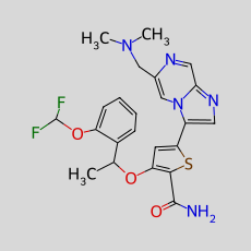 CC(Oc1cc(-c2cnc3cnc(CN(C)C)cn23)sc1C(N)=O)c1ccccc1OC(F)F